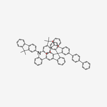 CC1(C)c2ccccc2-c2ccc(N(c3ccc4c(c3)C(C)(C)c3ccccc3-4)c3ccccc3-c3ccc4c(c3)-c3ccccc3C43c4ccccc4-c4ccc(-c5ccc(-c6ccccc6)cc5)cc43)cc21